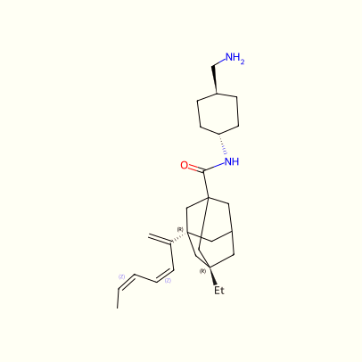 C=C(/C=C\C=C/C)[C@]12CC3CC(C(=O)N[C@H]4CC[C@H](CN)CC4)(C[C@](CC)(C3)C1)C2